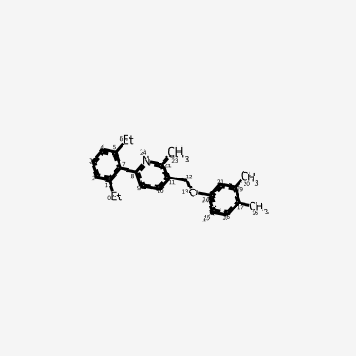 CCc1cccc(CC)c1-c1ccc(COc2ccc(C)c(C)c2)c(C)n1